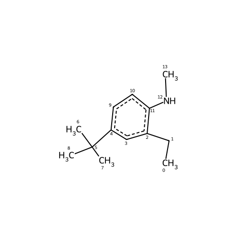 CCc1cc(C(C)(C)C)ccc1NC